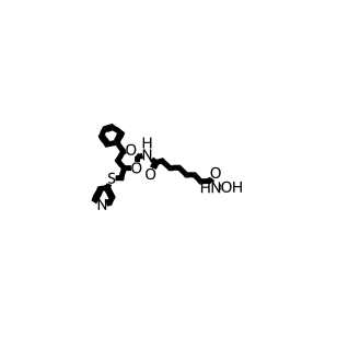 O=C(CCCCCCC(=O)NC1OC(CSc2ccncc2)CC(c2ccccc2)O1)NO